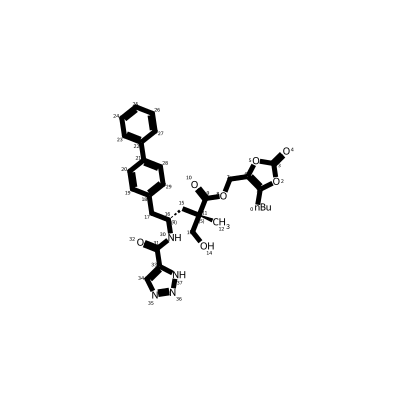 CCCCc1oc(=O)oc1COC(=O)[C@](C)(CO)C[C@@H](Cc1ccc(-c2ccccc2)cc1)NC(=O)c1cnn[nH]1